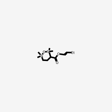 CCC=COC(=O)C1CC[Si](C)(C)O[Si]1(C)C